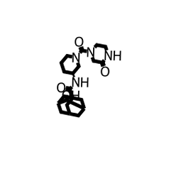 O=C1CN(C(=O)N2CCC[C@H](NC(=O)C34CC5CC(C3)C(O)C(C5)C4)C2)CCN1